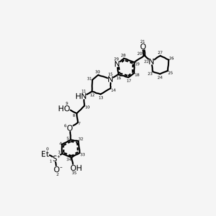 CC[S+]([O-])c1cc(OCC(O)CNC2CCN(c3ccc(C(=O)N4CCCCC4)cn3)CC2)ccc1O